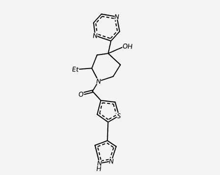 CCC1CC(O)(c2cnccn2)CCN1C(=O)c1csc(-c2cn[nH]c2)c1